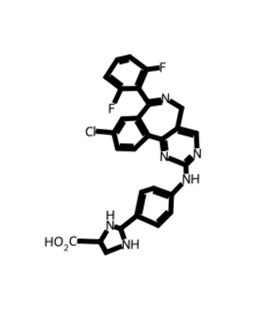 O=C(O)C1CNC(c2ccc(Nc3ncc4c(n3)-c3ccc(Cl)cc3C(c3c(F)cccc3F)=NC4)cc2)N1